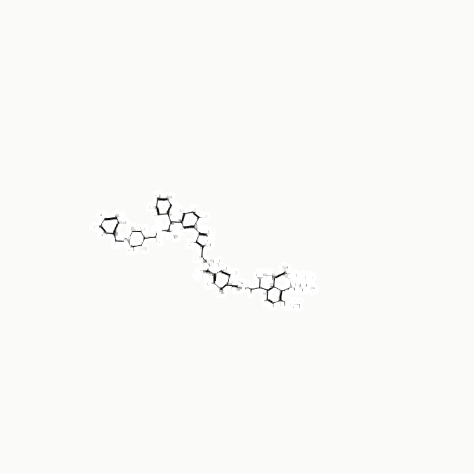 CNc1c(O)ccc(C(O)CNCc2ccc(C(=O)NCc3cc(-c4cccc(C(C(=O)OCC5CCN(Cc6ccccc6)CC5)c5ccccc5)c4)cs3)cc2)c1/C=C\C=O